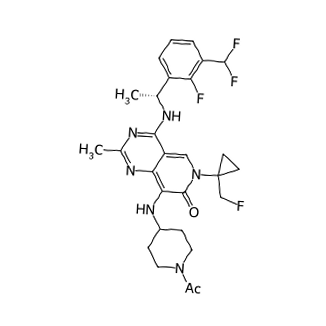 CC(=O)N1CCC(Nc2c(=O)n(C3(CF)CC3)cc3c(N[C@H](C)c4cccc(C(F)F)c4F)nc(C)nc23)CC1